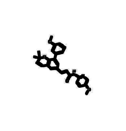 COc1ccc(NC(=O)/C=C/c2cc3c(c(-c4cccc(OC)c4)c2)OC(C)(C)C=C3)nc1